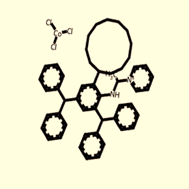 CC(Nc1c(C2CCCCCCCCCCC2)cc(C(c2ccccc2)c2ccccc2)cc1C(c1ccccc1)c1ccccc1)[n+]1ccccc1.[Cl][Co]([Cl])[Cl]